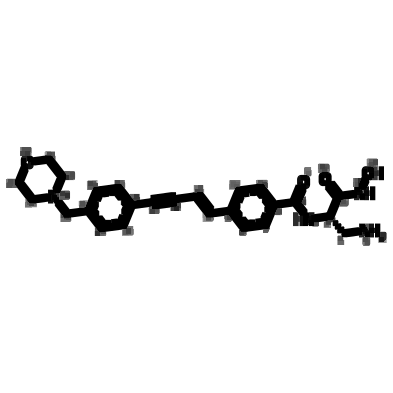 NC[C@H](NC(=O)c1ccc(/C=C/C#Cc2ccc(CN3CCOCC3)cc2)cc1)C(=O)NO